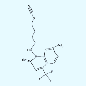 N#CSCCCCNn1c(=O)cc(C(F)(F)F)c2ccc(N)cc21